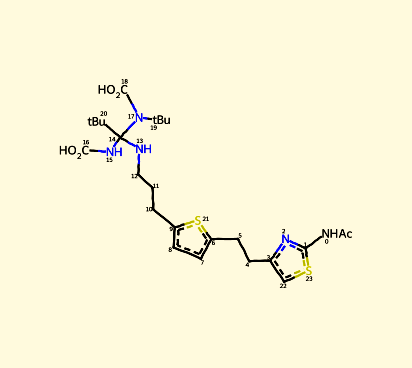 CC(=O)Nc1nc(CCc2ccc(CCCNC(NC(=O)O)(N(C(=O)O)C(C)(C)C)C(C)(C)C)s2)cs1